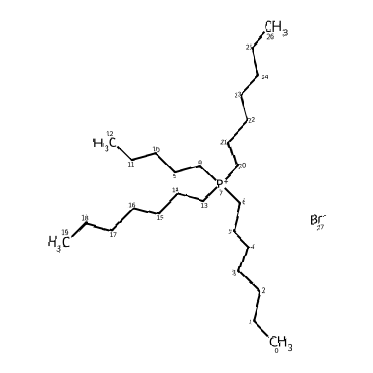 CCCCCCC[P+](CCCCC)(CCCCCCC)CCCCCCC.[Br-]